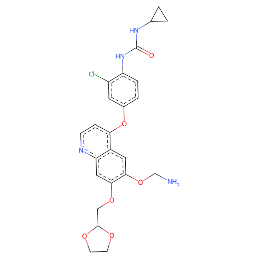 NCOc1cc2c(Oc3ccc(NC(=O)NC4CC4)c(Cl)c3)ccnc2cc1OCC1OCCO1